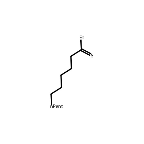 CCCCCCCCCCC(=S)CC